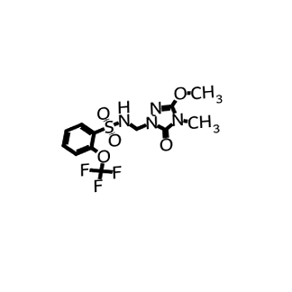 COc1nn(CNS(=O)(=O)c2ccccc2OC(F)(F)F)c(=O)n1C